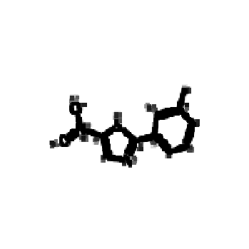 [CH2]c1cccc(-c2ncc([N+](=O)[O-])s2)c1